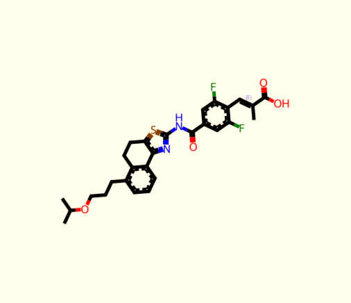 C/C(=C\c1c(F)cc(C(=O)Nc2nc3c(s2)CCc2c(CCCOC(C)C)cccc2-3)cc1F)C(=O)O